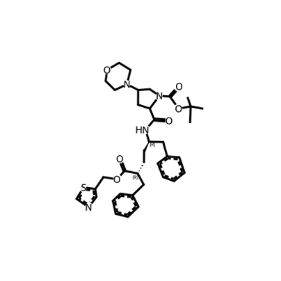 CC(C)(C)OC(=O)N1CC(N2CCOCC2)CC1C(=O)N[C@H](CC[C@H](Cc1ccccc1)C(=O)OCc1cncs1)Cc1ccccc1